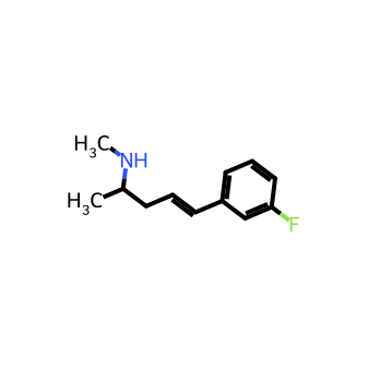 CNC(C)CC=Cc1cccc(F)c1